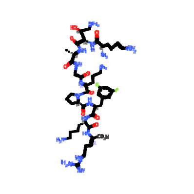 C[C@H](NC(=O)[C@@H](NC(=O)[C@@H](N)CCCCN)[C@@H](O)CN)C(=O)NCC(=O)/N=C(\CCCN)C(=O)N1CCC[C@H]1C(=O)N[C@@H](Cc1cc(F)cc(F)c1)C(=O)N[C@@H](CCCCN)C(=O)N/C(=C\CCNC(=N)N)C(=O)O